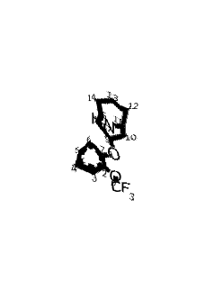 FC(F)(F)Oc1ccccc1OC1CC2CCCC(C1)N2